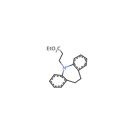 CCOC(=O)CCN1c2ccccc2CCc2ccccc21